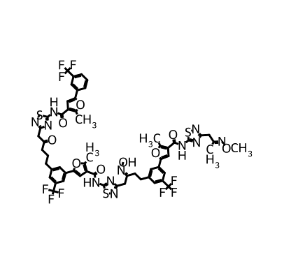 CO/N=C(\C)Cc1nsc(NC(=O)c2cc(-c3cc(CC/C(Cc4nsc(NC(=O)c5cc(-c6cc(CCCC(=O)Cc7nsc(NC(=O)c8cc(-c9cccc(C(F)(F)F)c9)oc8C)n7)cc(C(F)(F)F)c6)oc5C)n4)=N\O)cc(C(F)(F)F)c3)oc2C)n1